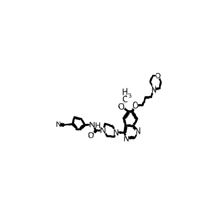 COc1cc2c(N3CCN(C(=O)Nc4ccc(C#N)cc4)CC3)ncnc2cc1OCCCN1CCOCC1